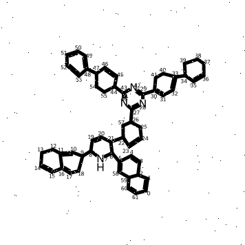 C1=CC2C=CC(C3NC(C4C=C5CCC=CC5=CC4)C=CC3C3C=CCC(c4nc(C5=CC=C(C6C=CCCC6)CC5)nc(C5C=CC(c6ccccc6)CC5)n4)C3)=CC2C=C1